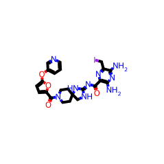 Nc1nc(N)c(C(=O)/N=C2\NCC3(CCN(C(=O)c4ccc(Oc5cccnc5)o4)CC3)N2)nc1CI